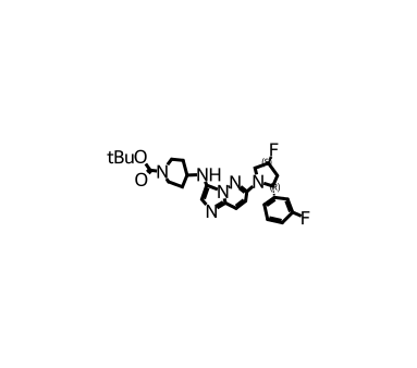 CC(C)(C)OC(=O)N1CCC(Nc2cnc3ccc(N4C[C@@H](F)C[C@@H]4c4cccc(F)c4)nn23)CC1